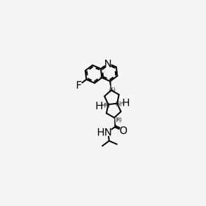 CC(C)NC(=O)[C@@H]1C[C@@H]2C[C@H](c3ccnc4ccc(F)cc34)C[C@@H]2C1